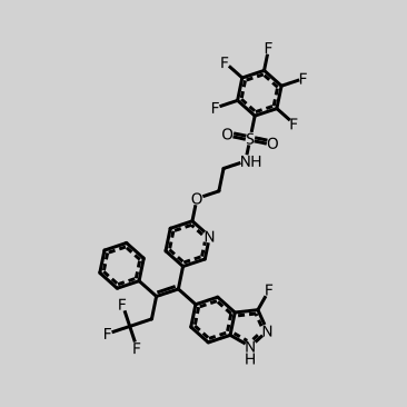 O=S(=O)(NCCOc1ccc(/C(=C(/CC(F)(F)F)c2ccccc2)c2ccc3[nH]nc(F)c3c2)cn1)c1c(F)c(F)c(F)c(F)c1F